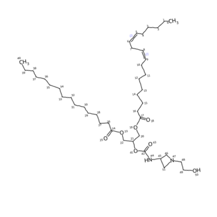 CCCCC/C=C\C/C=C\CCCCCCCC(=O)OCC(COC(=O)CCCCCCCCCCCCCCC)OC(=O)NC1CN(CCO)C1